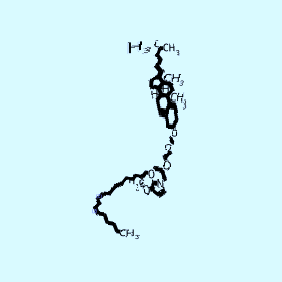 CCCCC/C=C\C/C=C\CCCCCCCCOCC(CN1CCC(OC)C1)OCCOCCO[C@H]1CC[C@@]2(C)C(=CC[C@@H]3C2CC[C@]2(C)C(CCCCC(C)C)CC[C@@H]32)C1